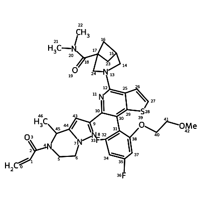 C=CC(=O)N1CCn2nc(-c3nc(N4CC5CC(C(=O)N(C)C)(C5)C4)c4ccsc4c3-c3c(F)cc(F)cc3OCCOC)cc2C1C